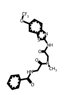 CN(CC(=O)Nc1nc2ccc(OC(F)(F)F)cc2s1)C(=O)CNC(=O)c1ccccc1